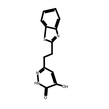 O=c1[nH]nc(CCc2nc3ccccc3s2)cc1O